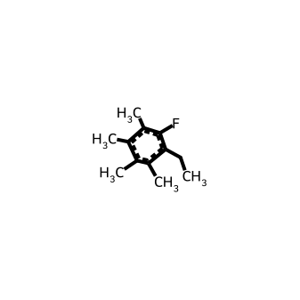 CCc1c(C)c(C)c(C)c(C)c1F